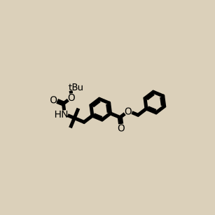 CC(C)(Cc1cccc(C(=O)OCc2ccccc2)c1)NC(=O)OC(C)(C)C